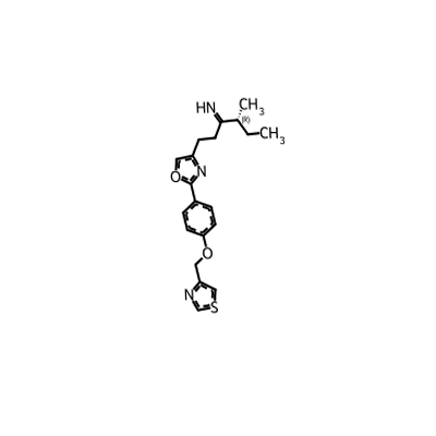 CC[C@@H](C)C(=N)CCc1coc(-c2ccc(OCc3cscn3)cc2)n1